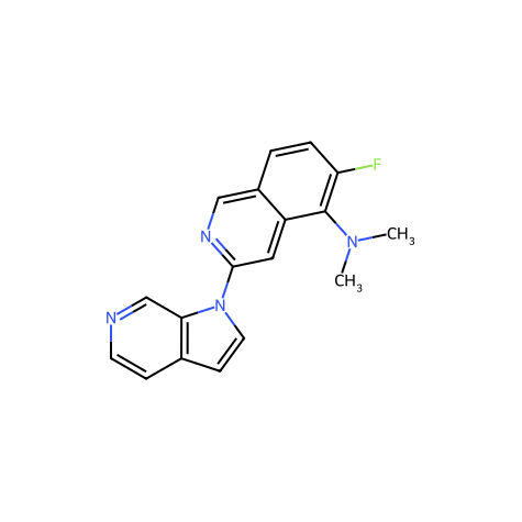 CN(C)c1c(F)ccc2cnc(-n3ccc4ccncc43)cc12